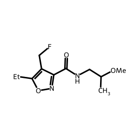 CCc1onc(C(=O)NCC(C)OC)c1CF